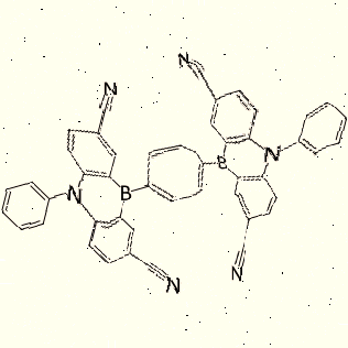 N#Cc1ccc2c(c1)B(c1ccc(B3c4cc(C#N)ccc4N(c4ccccc4)c4ccc(C#N)cc43)cc1)c1cc(C#N)ccc1N2c1ccccc1